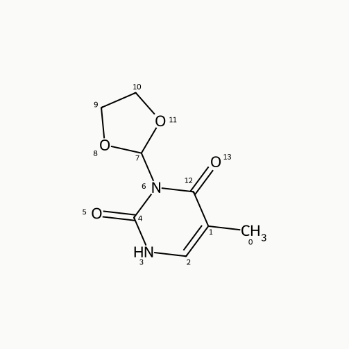 Cc1c[nH]c(=O)n(C2OCCO2)c1=O